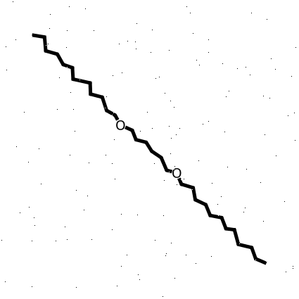 CCCCCCCCCCCCOCCCCCCOCCCCCCCCCCCC